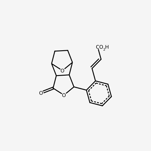 O=C(O)C=Cc1ccccc1C1OC(=O)C2C3CCC(O3)C12